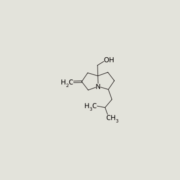 C=C1CN2C(CC(C)C)CCC2(CO)C1